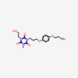 Cn1c(=O)n(CCO)c(=O)n(CCCSc2ccc(SCCC(C)(C)C)cc2)c1=O